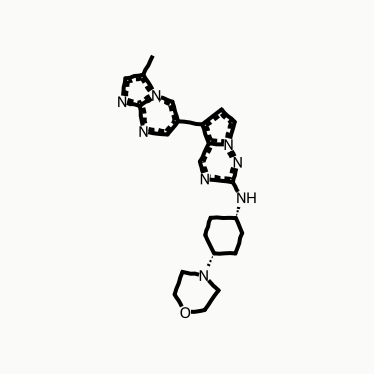 Cc1cnc2ncc(-c3ccn4nc(N[C@H]5CC[C@@H](N6CCOCC6)CC5)ncc34)cn12